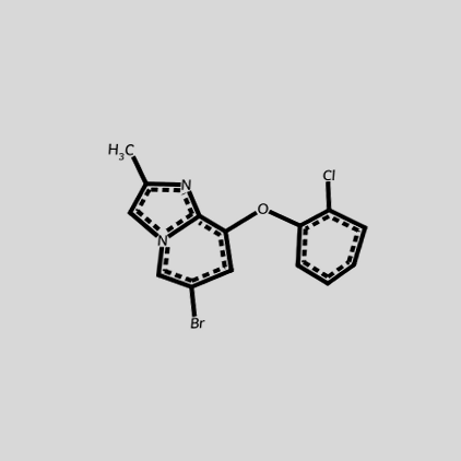 Cc1cn2cc(Br)cc(Oc3ccccc3Cl)c2n1